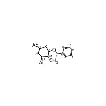 CC(=O)C1CC(OCc2ccccc2)C(C)C(C(C)=O)C1